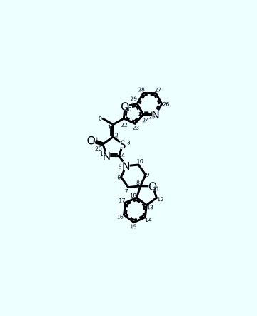 C/C(=C1/SC(N2CCC3(CC2)OCc2ccccc23)=NC1=O)c1cc2ncccc2o1